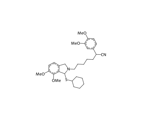 COc1ccc(C(C#N)CCCCCN2Cc3ccc(OC)c(OC)c3C2SC2CCCCC2)cc1OC